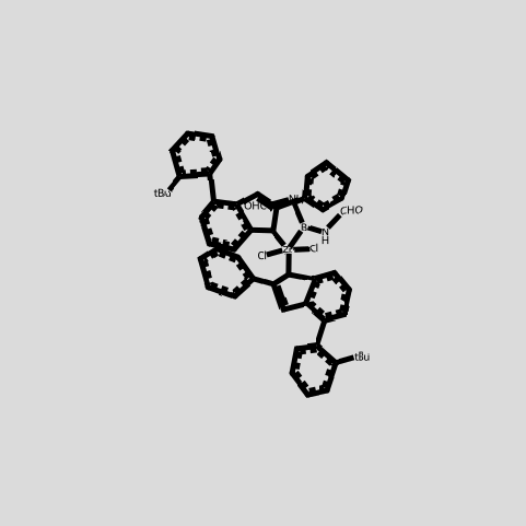 CC(C)(C)c1ccccc1-c1cccc2c1C=C(c1ccccc1)[CH]2[Zr]([Cl])([Cl])([B](NC=O)NC=O)[CH]1C(c2ccccc2)=Cc2c(-c3ccccc3C(C)(C)C)cccc21